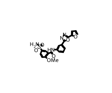 COc1ccc(S(N)(=O)=O)cc1C(=O)Nc1cccc(-c2nnc(-c3ccco3)o2)c1